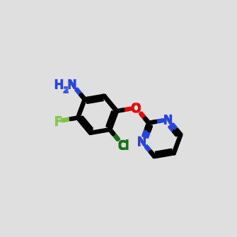 Nc1cc(Oc2ncccn2)c(Cl)cc1F